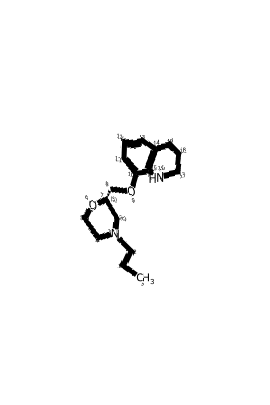 CCCN1CCO[C@H](COc2cccc3c2NCCC3)C1